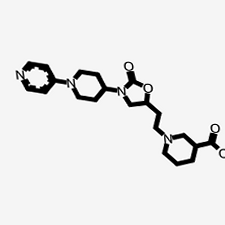 O=C(O)C1CCCN(CCC2CN(C3CCN(c4ccncc4)CC3)C(=O)O2)C1